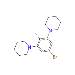 Brc1cc(N2CCCCC2)c(I)c(N2CCCCC2)c1